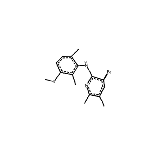 CSc1ccc(C)c(Nc2nc(C)c(C)cc2Br)c1C